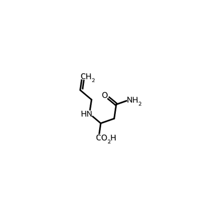 C=CCNC(CC(N)=O)C(=O)O